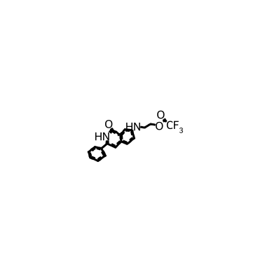 O=C(OCCNc1ccc2cc(-c3ccccc3)[nH]c(=O)c2c1)C(F)(F)F